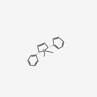 C[Si]1(C)[C@@H](c2ccccc2)C=C[C@H]1c1ccccc1